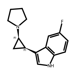 Fc1ccc2[nH]cc([C@H]3C[C@H]3N3CCCC3)c2c1